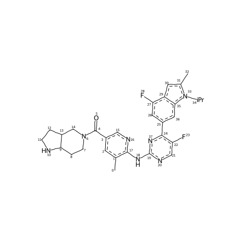 Cc1cc(C(=O)N2CCC3NCCC3C2)cnc1Nc1ncc(F)c(-c2cc(F)c3cc(C)n(C(C)C)c3c2)n1